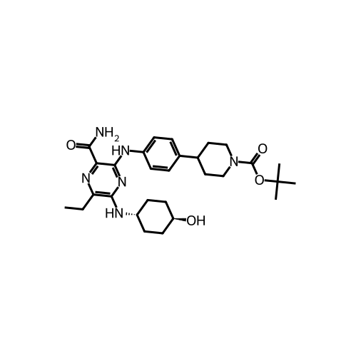 CCc1nc(C(N)=O)c(Nc2ccc(C3CCN(C(=O)OC(C)(C)C)CC3)cc2)nc1N[C@H]1CC[C@H](O)CC1